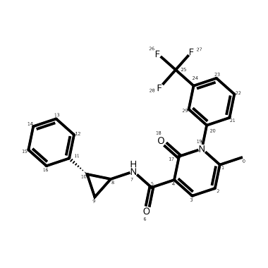 Cc1ccc(C(=O)NC2C[C@@H]2c2ccccc2)c(=O)n1-c1cccc(C(F)(F)F)c1